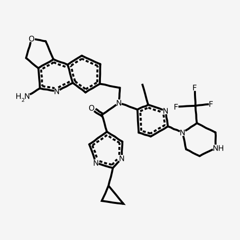 Cc1nc(N2CCNCC2C(F)(F)F)ccc1N(Cc1ccc2c3c(c(N)nc2c1)COC3)C(=O)c1cnc(C2CC2)nc1